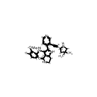 COc1c(F)cccc1Nc1c(-c2ccncc2C#C[C@H]2CC(C)(C)CN2)[nH]c2c1C(=O)NCC2